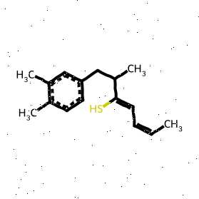 C/C=C\C=C(/S)C(C)Cc1ccc(C)c(C)c1